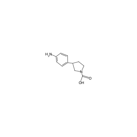 Nc1ccc(C2CCN(C(=O)O)C2)cc1